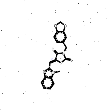 Cn1c(/C=C2\SC(=S)N(Cc3ccc4c(c3)OCO4)C2=O)nc2ccccc21